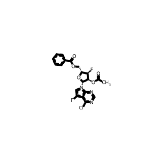 CC(=O)O[C@@H]1[C@H](F)[C@@H](COC(=O)c2ccccc2)O[C@H]1n1cc(F)c2c(Cl)ncnc21